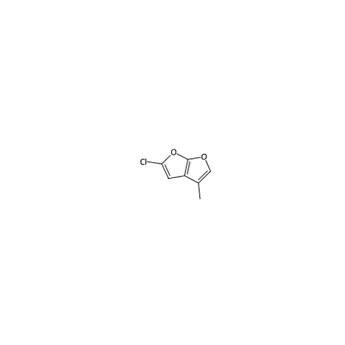 Cc1coc2oc(Cl)cc12